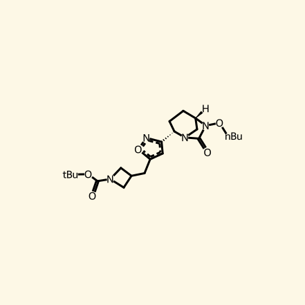 CCCCON1C(=O)N2C[C@@H]1CC[C@H]2c1cc(CC2CN(C(=O)OC(C)(C)C)C2)on1